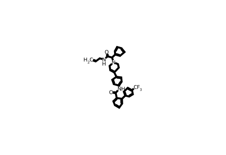 C=CCNC(=O)C(c1ccccc1)N1CC=C(c2ccc(NC(=O)c3ccccc3-c3ccc(C(F)(F)F)cc3)cc2)CC1